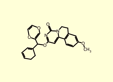 COc1ccc2c(c1)CCn1c-2cc(OC(C2=CC=CCC2)C2=COC=CO2)nc1=O